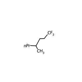 C[CH]CC(C)CCC(F)(F)F